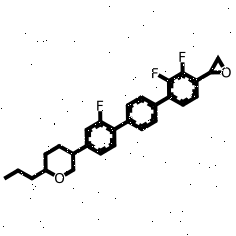 CCCC1CCC(c2ccc(-c3ccc(-c4ccc(C5CO5)c(F)c4F)cc3)c(F)c2)CO1